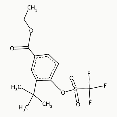 CCOC(=O)c1ccc(OS(=O)(=O)C(F)(F)F)c(C(C)(C)C)c1